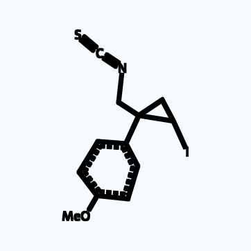 COc1ccc(C2(CN=C=S)CC2I)cc1